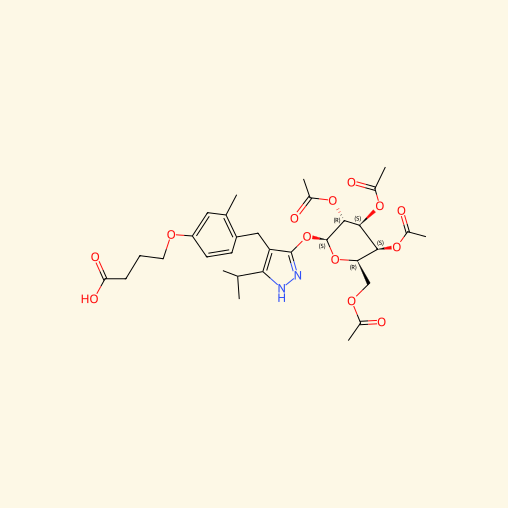 CC(=O)OC[C@H]1O[C@@H](Oc2n[nH]c(C(C)C)c2Cc2ccc(OCCCC(=O)O)cc2C)[C@H](OC(C)=O)[C@@H](OC(C)=O)[C@H]1OC(C)=O